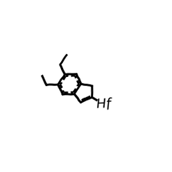 CCc1cc2c(cc1CC)C[C]([Hf])=C2